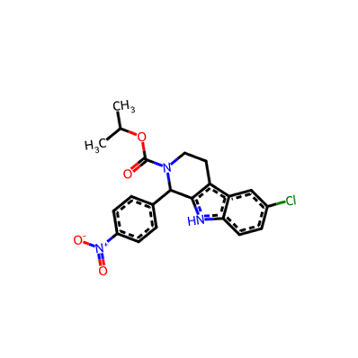 CC(C)OC(=O)N1CCc2c([nH]c3ccc(Cl)cc23)C1c1ccc([N+](=O)[O-])cc1